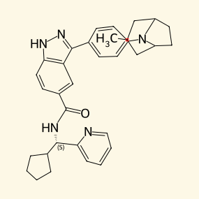 CC1CC2CCC(C1)N2c1ccc(-c2n[nH]c3ccc(C(=O)N[C@H](c4ccccn4)C4CCCC4)cc23)cc1